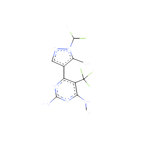 CNc1nc(N)nc(-c2cnn(C(F)F)c2C)c1C(F)(F)F